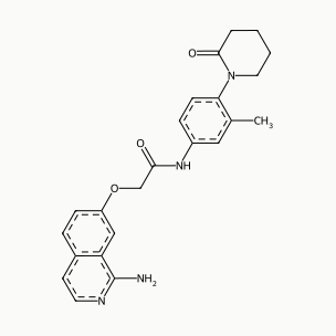 Cc1cc(NC(=O)COc2ccc3ccnc(N)c3c2)ccc1N1CCCCC1=O